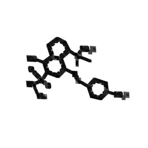 CC(C)(C)NS(=O)(=O)c1cc(N=Nc2ccc(S(=O)(=O)O)cc2)c2c([N+](C)(C)S(=O)(=O)O)cccc2c1O